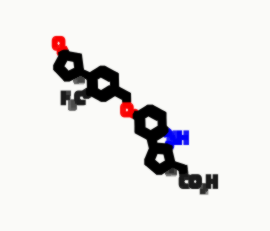 O=C(O)C[C@H]1CCc2c1[nH]c1ccc(OCc3ccc([C@H]4CCC(=O)C4)c(C(F)(F)F)c3)cc21